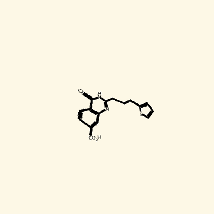 O=C(O)c1ccc2c(=O)[nH]c(CCCc3cccs3)nc2c1